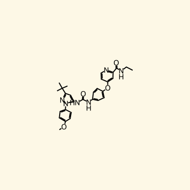 CCNC(=O)c1cc(Oc2ccc(NC(=O)Nc3cc(C(C)(C)C)nn3-c3ccc(OC)cc3)cc2)ccn1